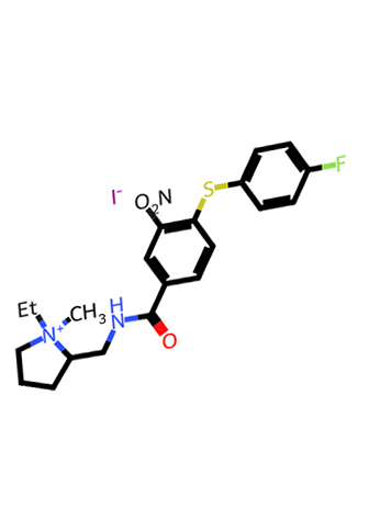 CC[N+]1(C)CCCC1CNC(=O)c1ccc(Sc2ccc(F)cc2)c([N+](=O)[O-])c1.[I-]